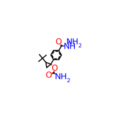 CC(C)(C)C1CC1(OC(N)=O)c1ccc(C(=O)NN)cc1